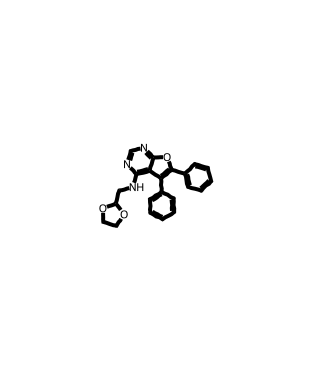 c1ccc(-c2oc3ncnc(NCC4OCCO4)c3c2-c2ccccc2)cc1